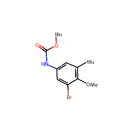 COc1c(Br)cc(NC(=O)OC(C)(C)C)cc1C(C)(C)C